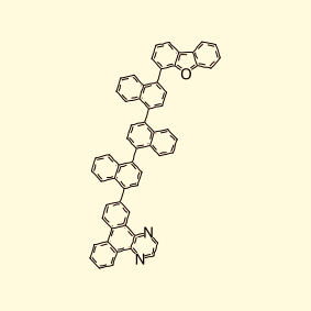 c1ccc2c(c1)oc1c(-c3ccc(-c4ccc(-c5ccc(-c6ccc7c8ccccc8c8nccnc8c7c6)c6ccccc56)c5ccccc45)c4ccccc34)cccc12